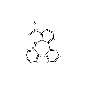 O=[N+]([O-])c1cccc2c1Nc1ccccc1-c1ccccc1-2